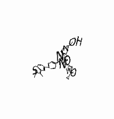 CC1Sc2ccc(-c3ccc(C4=NC5(CCN(CCO)CC5)C(=O)N4C[C@@H]4CCN(C(=O)C5CC5)C4)cc3)cc2C1C